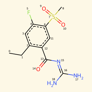 CCc1cc(F)c(S(C)(=O)=O)cc1C(=O)N=C(N)N